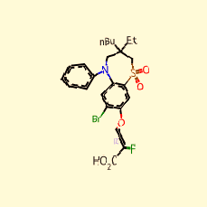 CCCCC1(CC)CN(c2ccccc2)c2cc(Br)c(O/C=C(\F)C(=O)O)cc2S(=O)(=O)C1